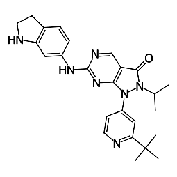 CC(C)n1c(=O)c2cnc(Nc3ccc4c(c3)NCC4)nc2n1-c1ccnc(C(C)(C)C)c1